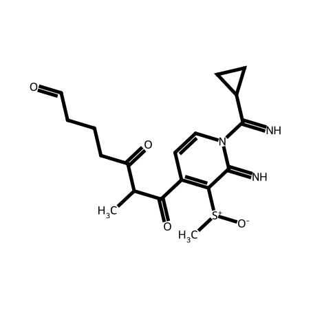 CC(C(=O)CCCC=O)C(=O)c1ccn(C(=N)C2CC2)c(=N)c1[S+](C)[O-]